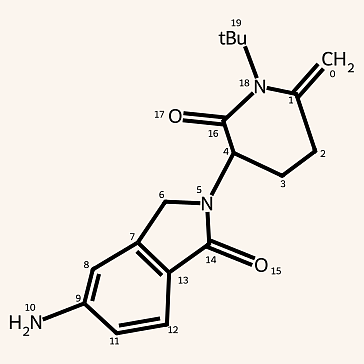 C=C1CCC(N2Cc3cc(N)ccc3C2=O)C(=O)N1C(C)(C)C